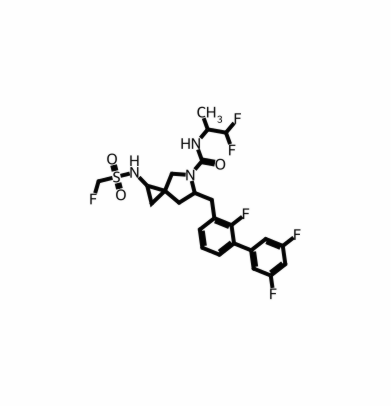 CC(NC(=O)N1CC2(CC1Cc1cccc(-c3cc(F)cc(F)c3)c1F)CC2NS(=O)(=O)CF)C(F)F